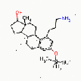 CC12CCC3c4c(CCCN)cc(O[Si](C)(C)C(C)(C)C)cc4CCC3C1CCC2O